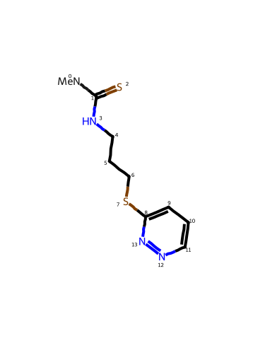 CNC(=S)NCCCSc1cccnn1